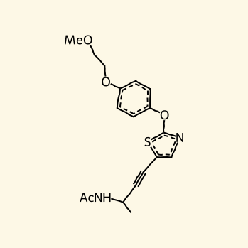 COCCOc1ccc(Oc2ncc(C#CC(C)NC(C)=O)s2)cc1